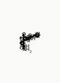 COc1c(C=O)cc(S(=O)(=O)NC(=O)CCc2cccnc2)cc1-c1cccc(NC(N)=O)c1